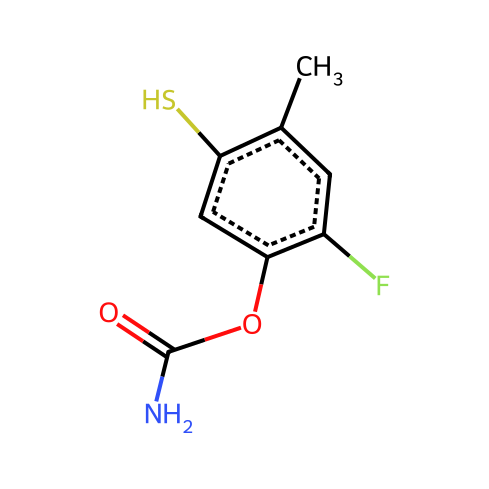 Cc1cc(F)c(OC(N)=O)cc1S